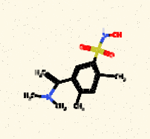 C=C(c1cc(S(=O)(=O)NO)c(C)cc1C)N(C)C